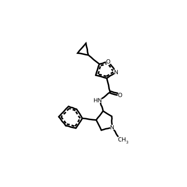 CN1CC(NC(=O)c2cc(C3CC3)on2)C(c2ccccc2)C1